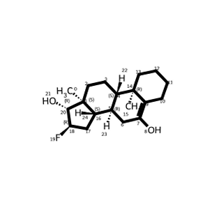 C[C@]12CC[C@H]3[C@@H](CC(O)=C4CCCC[C@@]43C)[C@@H]1C[C@@H](F)[C@@H]2O